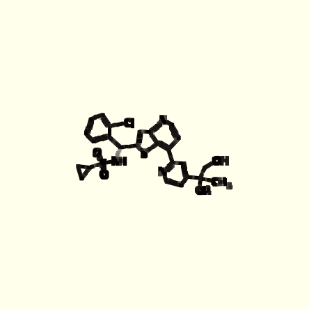 CC(O)(CO)c1ccnc(-c2ccnc3cc([C@H](NS(=O)(=O)C4CC4)c4ccccc4Cl)sc23)c1